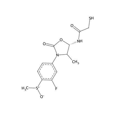 CC1[C@@H](NC(=O)CS)OC(=O)N1c1ccc([S+](C)[O-])c(F)c1